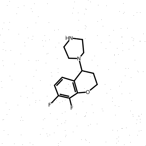 Fc1ccc2c(c1F)OCCC2N1CCNCC1